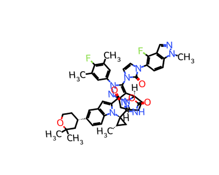 Cc1cc(-n2nc3c(c2-n2ccn(-c4ccc5c(cnn5C)c4F)c2=O)[C@H]2CC[C@@H](C3)N2C(=O)c2cc3cc([C@H]4CCOC(C)(C)C4)ccc3n2[C@@]2(c3noc(=O)[nH]3)C[C@@H]2C)cc(C)c1F